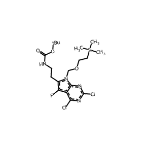 CC(C)(C)OC(=O)NCCc1c(F)c2c(Cl)nc(Cl)nc2n1COCC[Si](C)(C)C